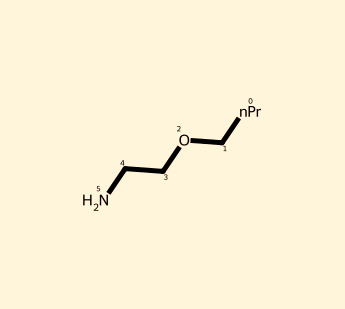 CCCCOCCN